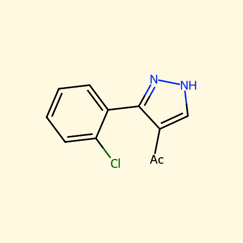 CC(=O)c1c[nH]nc1-c1ccccc1Cl